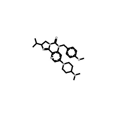 COc1ccc(CN2C(=O)N3CC(C(C)C)N=C3c3ncc(N4CCC(N(C)C)CC4)cc32)cc1